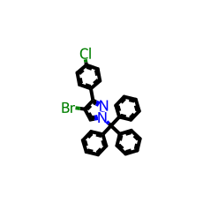 Clc1ccc(-c2nn(C(c3ccccc3)(c3ccccc3)c3ccccc3)cc2Br)cc1